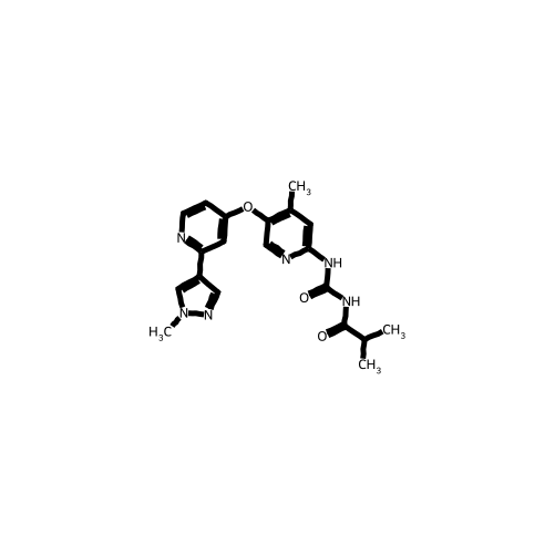 Cc1cc(NC(=O)NC(=O)C(C)C)ncc1Oc1ccnc(-c2cnn(C)c2)c1